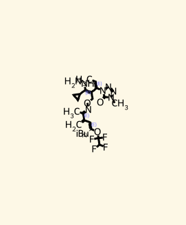 C=C(/C=C(/OC(F)(F)C(F)F)[C@@H](C)CC)/C(C)=N/OCC(/C(=C\C)n1nnn(C)c1=O)=C(/NN)C1CC1